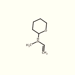 C=C[SiH](C)C1CCCCO1